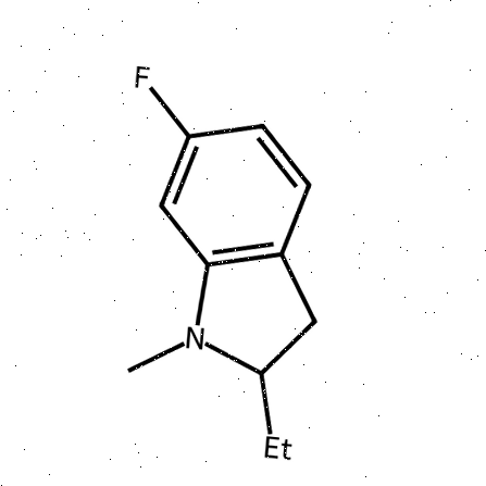 CCC1Cc2ccc(F)cc2N1C